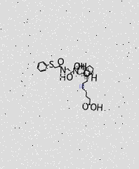 O=C(O)CCC/C=C\C[C@H]1[C@@H](CN(O)C(=O)CNC(=O)CSc2ccccc2)[C@H]2CC[C@@H]1O2